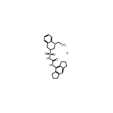 CCN1CC(S(=O)(=O)NC(=O)Nc2c3c(cc4c2CCC4)CCC3)Cc2ccccc21.[K]